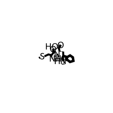 CSCC[C@H](N)C(=O)N(I)[C@@H](Cc1c[nH]c2ccccc12)C(=O)O